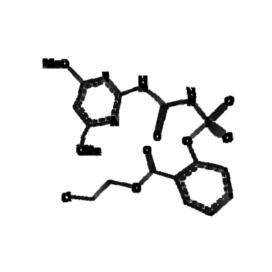 COc1cc(OC)nc(NC(=O)NS(=O)(=O)Oc2ccccc2C(=O)OCCCl)n1